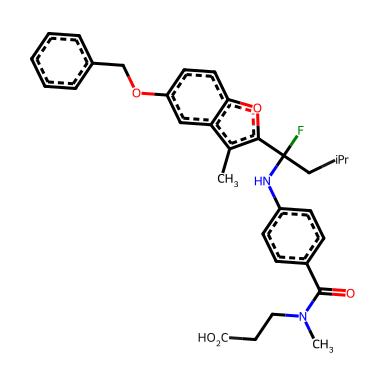 Cc1c(C(F)(CC(C)C)Nc2ccc(C(=O)N(C)CCC(=O)O)cc2)oc2ccc(OCc3ccccc3)cc12